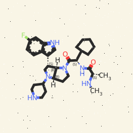 CN[C@@H](C)C(=O)N[C@H](C(=O)N1CC[C@@H]2[C@H]1[C@@H](c1c[nH]c3cc(F)ccc13)CN2C1CCNCC1)C1CCCCC1